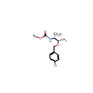 C[C@@H](OCc1ccc(Cl)cc1)[C@H](NC(=O)OC(C)(C)C)C(=O)O